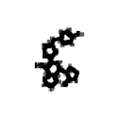 O=C1CCCN1c1nc(-c2nnc(Cc3ccc(F)cc3)o2)c(O)c2ncccc12